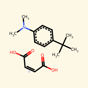 CN(C)c1ccc(C(C)(C)C)cc1.O=C(O)/C=C\C(=O)O